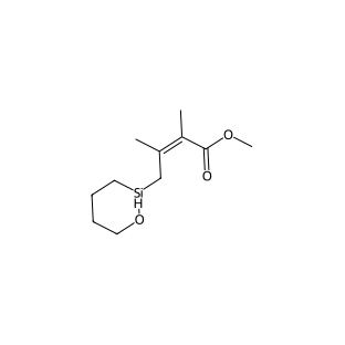 COC(=O)C(C)=C(C)C[SiH]1CCCCO1